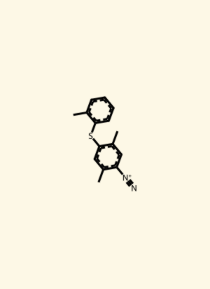 Cc1cc(Sc2ccccc2C)c(C)cc1[N+]#N